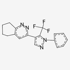 FC(F)(F)c1c(-c2cc3c(nn2)CCCC3)cnn1-c1ccccc1